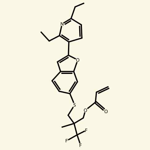 C=CC(=O)OCC(C)(CSc1ccc2cc(-c3ccc(CC)nc3CC)oc2c1)C(F)(F)F